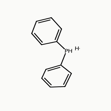 [H].c1ccc(Pc2ccccc2)cc1